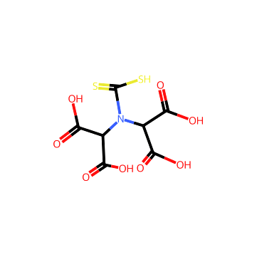 O=C(O)C(C(=O)O)N(C(=S)S)C(C(=O)O)C(=O)O